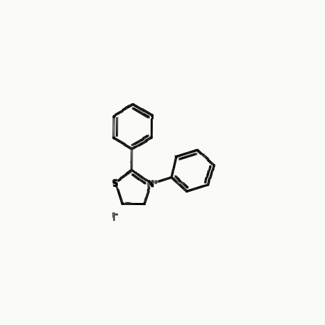 [I-].c1ccc(C2=[N+](c3ccccc3)CCS2)cc1